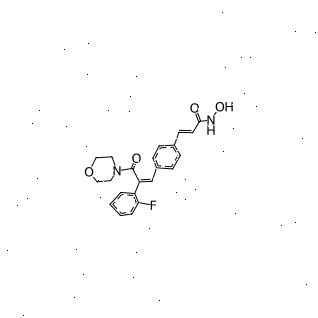 O=C(C=Cc1ccc(C=C(C(=O)N2CCOCC2)c2ccccc2F)cc1)NO